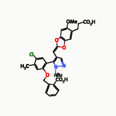 CCCCn1ncc(C=C2Oc3cc(CCC(=O)O)c(OC)cc3O2)c1-c1cc(Cl)c(C)cc1OCc1ccccc1C(=O)O